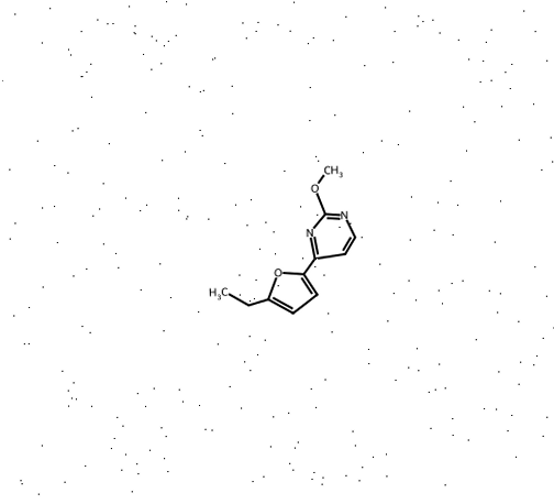 CCc1ccc(-c2ccnc(OC)n2)o1